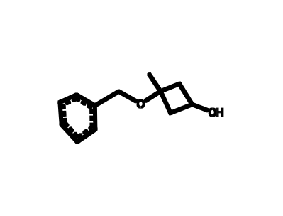 CC1(OCc2ccccc2)CC(O)C1